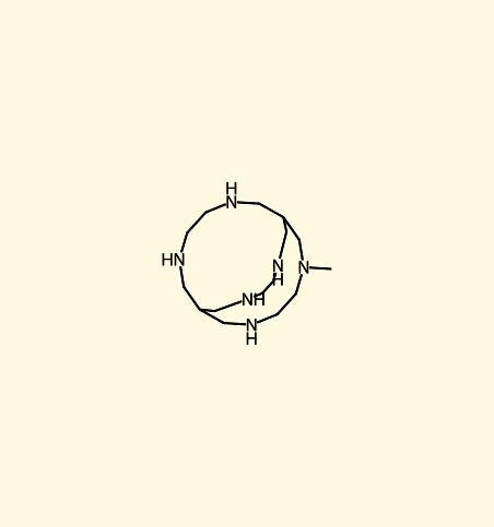 CN1CCNCC2CNCCNCC(CNCCNC2)C1